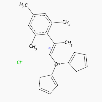 C/C(=[CH]\[Zr+]([C]1=CC=CC1)[C]1=CC=CC1)c1c(C)cc(C)cc1C.[Cl-]